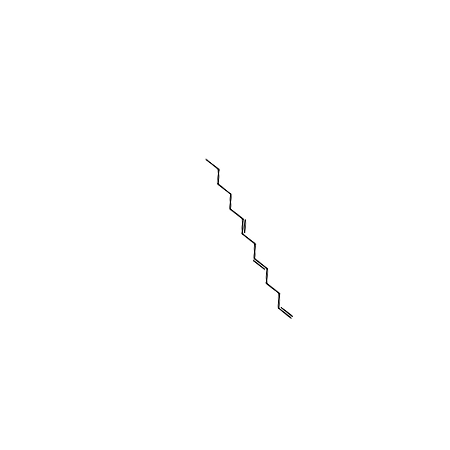 C=CCCC=CCC=CCCCCC